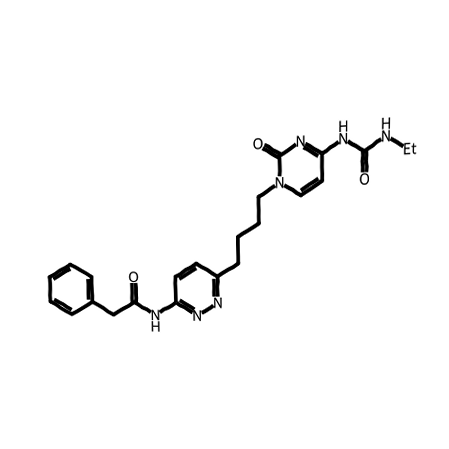 CCNC(=O)Nc1ccn(CCCCc2ccc(NC(=O)Cc3ccccc3)nn2)c(=O)n1